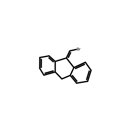 BrC=C1c2ccccc2Cc2ccccc21